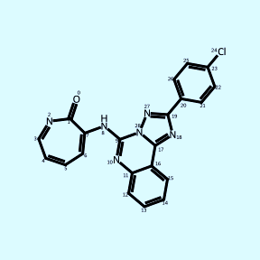 O=c1nccccc1Nc1nc2ccccc2c2nc(-c3ccc(Cl)cc3)nn12